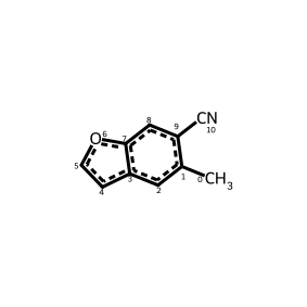 Cc1cc2ccoc2cc1C#N